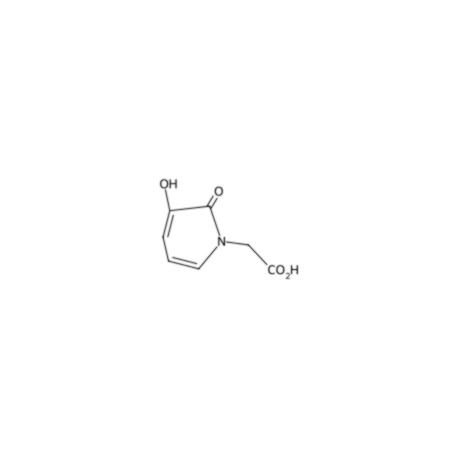 O=C(O)Cn1cccc(O)c1=O